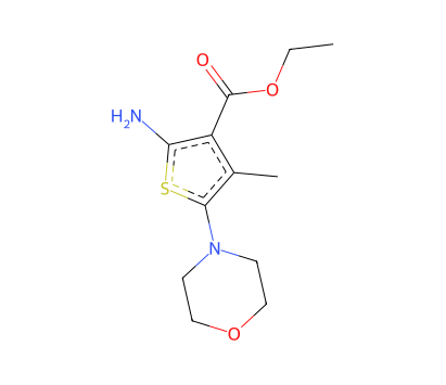 CCOC(=O)c1c(N)sc(N2CCOCC2)c1C